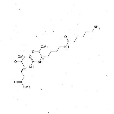 COC(=O)CC[C@H](NC(=O)N[C@@H](CCCCNC(=O)CCCCCN)C(=O)OC)C(=O)OC